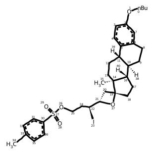 CCCCOc1ccc2c(c1)CC[C@@H]1[C@@H]2CC[C@@]2(C)[C@H]1CC[C@@]21C[C@@H]([C@@H](I)CCOS(=O)(=O)c2ccc(C)cc2)O1